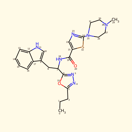 CCCc1nnc(C(Cc2c[nH]c3ccccc23)NC(=O)c2cnc(N3CCN(C)CC3)s2)o1